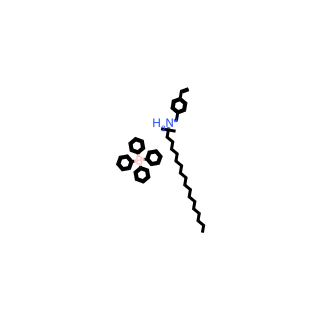 C=Cc1ccc(C[NH2+]C(C)(C)CCCCCCCCCCCCCCCCC)cc1.c1ccc([B-](c2ccccc2)(c2ccccc2)c2ccccc2)cc1